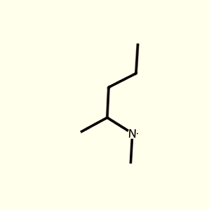 CCCC(C)[N]C